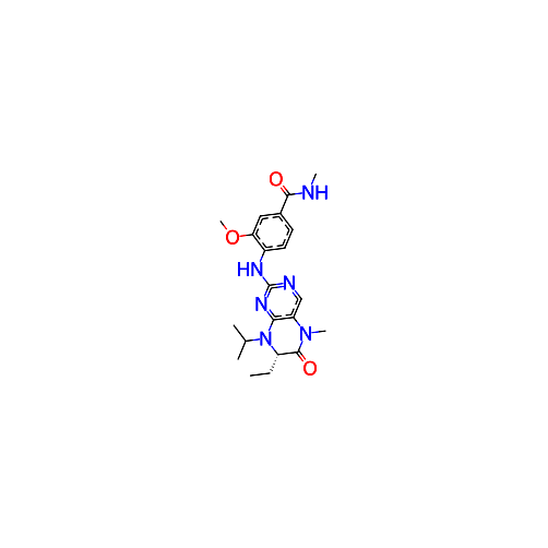 CC[C@H]1C(=O)N(C)c2cnc(Nc3ccc(C(=O)NC)cc3OC)nc2N1C(C)C